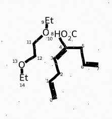 C=CCC=C(CC=C)C(=O)O.CCOCCOCC